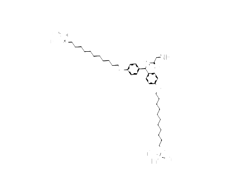 CC(C)[Si](OCCCCCCCCCCCOc1ccc(C(NC(=O)CN)c2ccc(OCCCCCCCCCCCO[Si](C(C)C)(C(C)C)C(C)C)cc2)cc1)(C(C)C)C(C)C